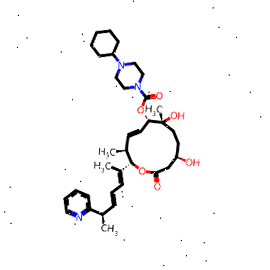 C/C(=C\C=C\[C@@H](C)c1ccccn1)[C@H]1OC(=O)C[C@H](O)CC[C@@](C)(O)[C@@H](OC(=O)N2CCN(C3CCCCC3)CC2)/C=C/[C@@H]1C